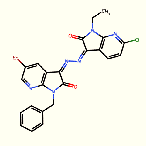 CCN1C(=O)/C(=N\N=C2/C(=O)N(Cc3ccccc3)c3ncc(Br)cc32)c2ccc(Cl)nc21